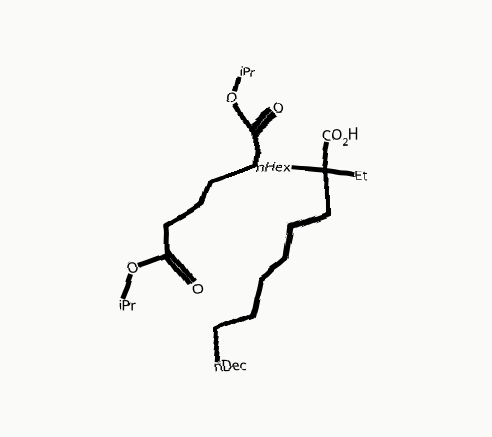 CC(C)OC(=O)CCCCC(=O)OC(C)C.CCCCCCCCCCCCCCCCC(CC)(CCCCCC)C(=O)O